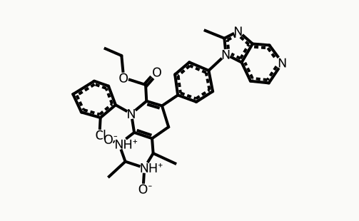 CCOC(=O)C1=C(c2ccc(-n3c(C)nc4cnccc43)cc2)CC2=C(N1c1ccccc1Cl)[NH+]([O-])C(C)[NH+]([O-])C2C